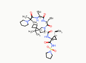 C=C[C@@H]1C[C@]1(NC(=O)[C@@H]1C[C@@]2(CN1C(=O)[C@@H](NC(=O)[C@@H](NC(=O)C(C)(C)N1CCCCC1)C(C)(C)C)C(C)(C)C)C(C)(C)C21CCC1)C(=O)NS(=O)(=O)N1CCCC1